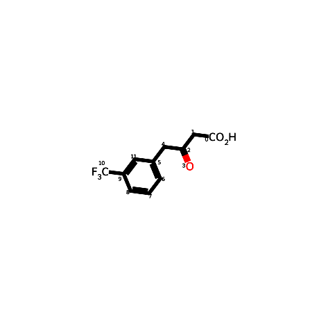 O=C(O)CC(=O)Cc1cccc(C(F)(F)F)c1